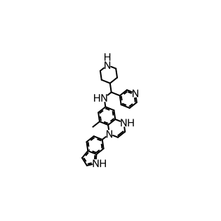 Cc1cc(NC(c2cccnc2)C2CCNCC2)cc2c1N(c1ccc3cc[nH]c3c1)C=CN2